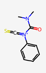 CN(C)C(=O)[N+](=C=S)c1ccccc1